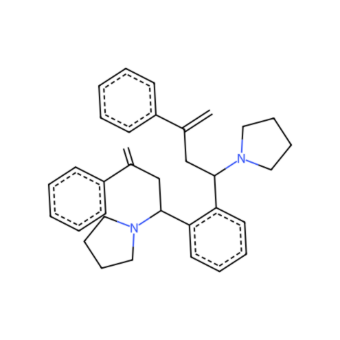 C=C(CC(c1ccccc1C(CC(=C)c1ccccc1)N1CCCC1)N1CCCC1)c1ccccc1